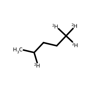 [2H]C(C)CCC([2H])([2H])[2H]